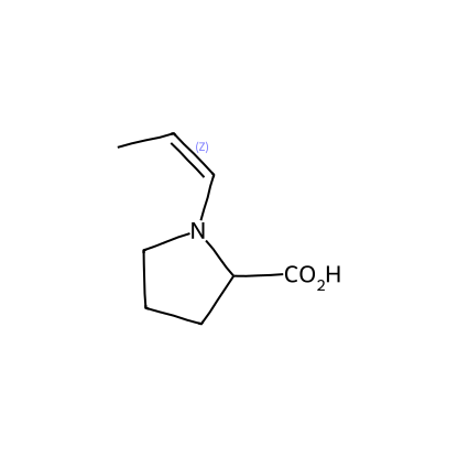 C/C=C\N1CCCC1C(=O)O